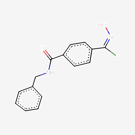 O=C(NCc1ccccc1)c1ccc(/C(Cl)=N\O)cc1